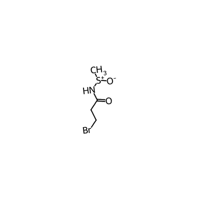 C[S+]([O-])NC(=O)CCBr